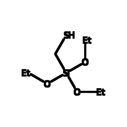 CCO[Si](CS)(OCC)OCC